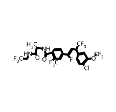 C[C@@H](NC(=O)c1ccc(/C(F)=C/C(c2ccc(Cl)c(OC(F)(F)F)c2)C(F)(F)F)cc1C(F)(F)F)C(=O)NCC(F)(F)F